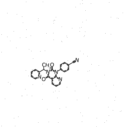 CC(c1ccccn1)n1c(=O)c2cccnc2n(-c2ccc(C#N)cc2)c1=O